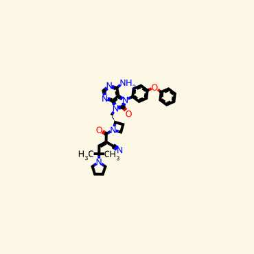 CC(C)(C=C(C#N)C(=O)N1CC[C@H]1Cn1c(=O)n(-c2ccc(Oc3ccccc3)cc2)c2c(N)ncnc21)N1CCCC1